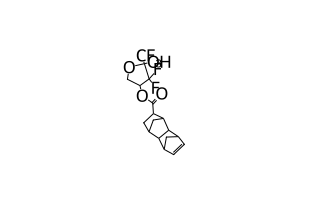 O=C(OC1COC(O)(C(F)(F)F)C1(F)F)C1CC2CC1C1C3C=CC(C3)C21